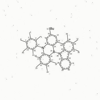 Cc1c(C)c(C)c(N2c3cc(C(C)(C)C)cc4c3B(c3c(C)c(C)c(C)c(C)c32)n2c3ccccc3c3c(C)c(C)c(C)c-4c32)c(C)c1C